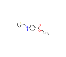 CCOC(=O)c1ccc(NCc2cccs2)cc1